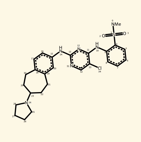 CNS(=O)(=O)c1ccccc1Nc1nc(Nc2ccc3c(c2)CCC(N2CCCC2)CC3)ncc1Cl